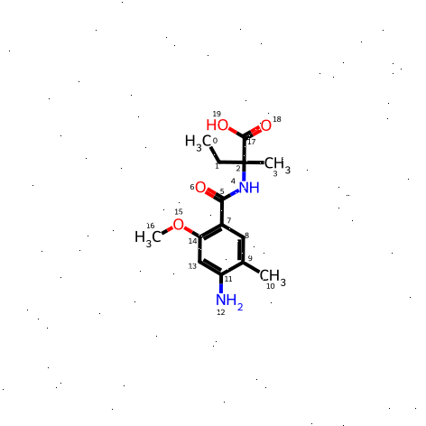 CCC(C)(NC(=O)c1cc(C)c(N)cc1OC)C(=O)O